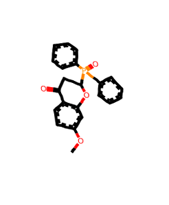 COc1ccc2c(c1)OC(P(=O)(c1ccccc1)c1ccccc1)CC2=O